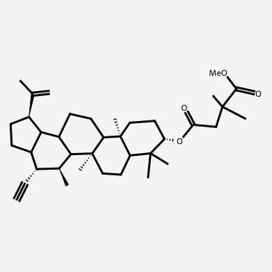 C#C[C@@H]1C2CC[C@@H](C(=C)C)C2C2CCC3[C@@](C)(CCC4C(C)(C)[C@@H](OC(=O)CC(C)(C)C(=O)OC)CC[C@@]43C)C2[C@H]1C